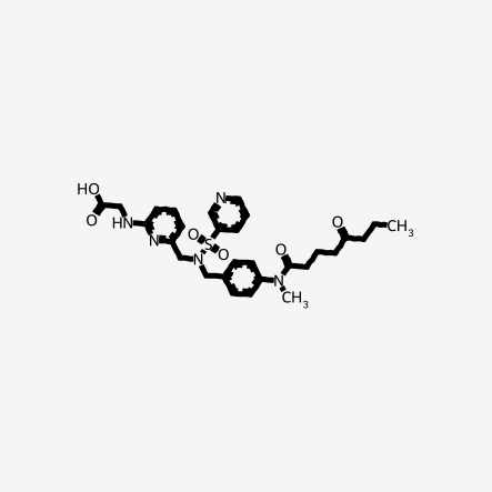 CCCC(=O)CCCC(=O)N(C)c1ccc(CN(Cc2cccc(NCC(=O)O)n2)S(=O)(=O)c2cccnc2)cc1